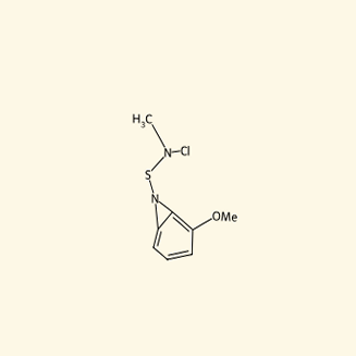 COc1cccc2c1N2SN(C)Cl